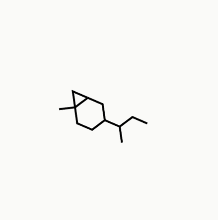 CCC(C)C1CCC2(C)CC2C1